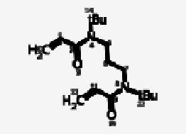 C=CC(=O)N(CCCN(C(=O)C=C)C(C)(C)C)C(C)(C)C